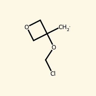 [CH2]C1(OCCl)COC1